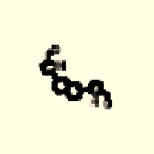 O=Cc1ccc(C2=CC3=CC(c4ccc(C=O)[nH]4)CCC3CC2)[nH]1